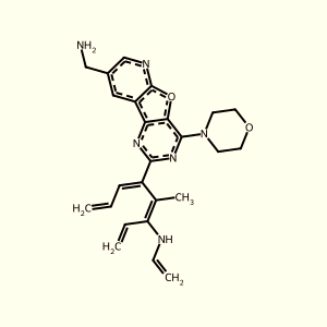 C=C/C=C(\C(C)=C(/C=C)NC=C)c1nc(N2CCOCC2)c2oc3ncc(CN)cc3c2n1